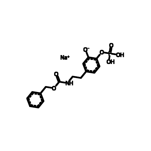 O=C(NCCc1ccc(OP(=O)(O)O)c([O-])c1)OCc1ccccc1.[Na+]